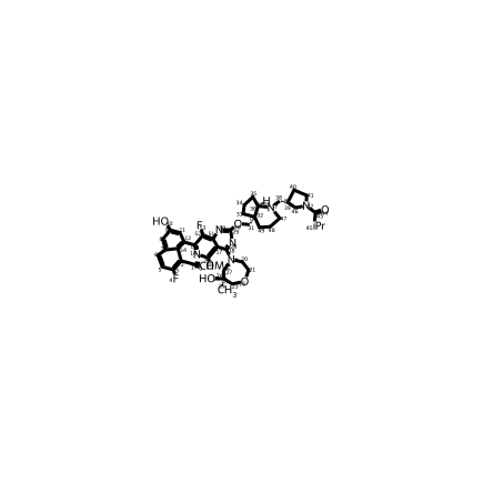 C#Cc1c(F)ccc2cc(O)cc(-c3nc(OC)c4c(N5CCOC[C@@](C)(O)C5)nc(OC[C@]56CCC[C@H]5N(C[C@@H]5CCN(C(=O)C(C)C)C5)CCC6)nc4c3F)c12